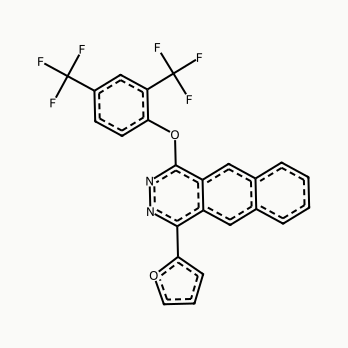 FC(F)(F)c1ccc(Oc2nnc(-c3ccco3)c3cc4ccccc4cc23)c(C(F)(F)F)c1